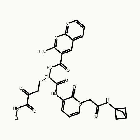 CCNC(=O)C(=O)CC[C@H](NC(=O)c1cc2cccnc2nc1C)C(=O)Nc1cccn(CC(=O)NC23CC(C2)C3)c1=O